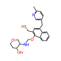 Cc1ccc(Cc2cc(CS)c(OCNC3COCC[C@@H]3O)c3ccccc23)cn1